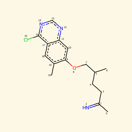 CC(=N)CCC(C)COc1cc2ncnc(Cl)c2cc1C